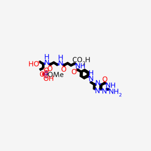 COP(=O)(O)OC(C)C(CO)NC(=O)CCNC(=O)CCC(NC(=O)c1ccc(NCc2cnc3nc(N)[nH]c(=O)c3n2)cc1)C(=O)O